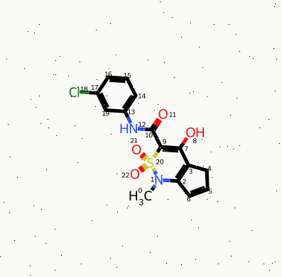 CN1C2=C(CC=C2)C(O)=C(C(=O)Nc2cccc(Cl)c2)S1(=O)=O